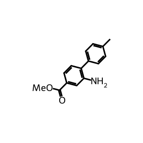 COC(=O)c1ccc(-c2ccc(C)cc2)c(N)c1